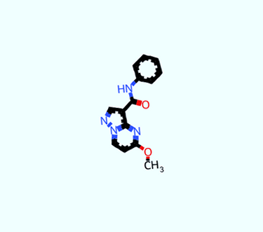 COc1ccn2ncc(C(=O)Nc3ccccc3)c2n1